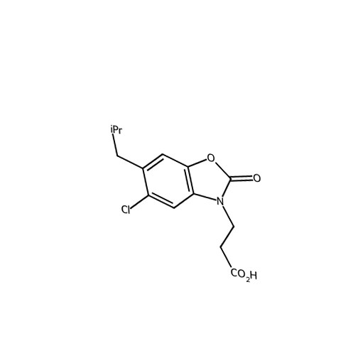 CC(C)Cc1cc2oc(=O)n(CCC(=O)O)c2cc1Cl